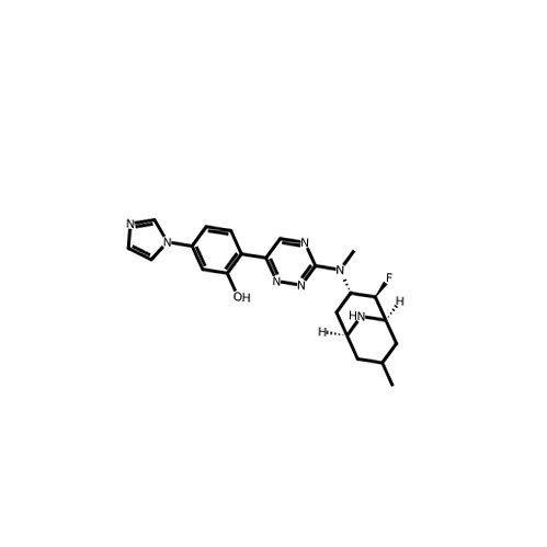 CC1C[C@H]2C[C@H](N(C)c3ncc(-c4ccc(-n5ccnc5)cc4O)nn3)[C@@H](F)[C@@H](C1)N2